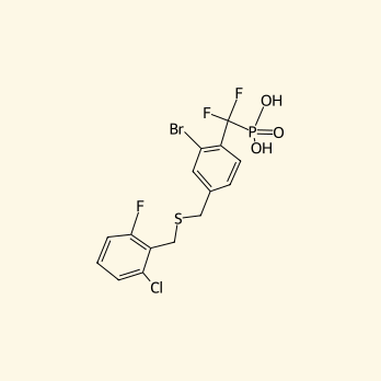 O=P(O)(O)C(F)(F)c1ccc(CSCc2c(F)cccc2Cl)cc1Br